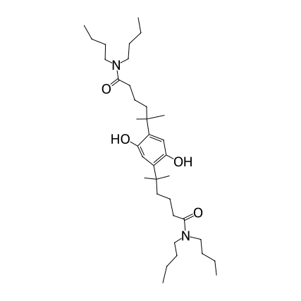 CCCCN(CCCC)C(=O)CCCC(C)(C)c1cc(O)c(C(C)(C)CCCC(=O)N(CCCC)CCCC)cc1O